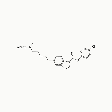 CCCCCN(C)CCCCCc1ccc2c(c1)CCN2C(=S)Oc1ccc(Cl)cc1